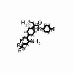 CCC(C(=O)Nc1ccc(F)cc1)=C1CCC(c2cnc(C(F)(F)F)cc2N)CC1